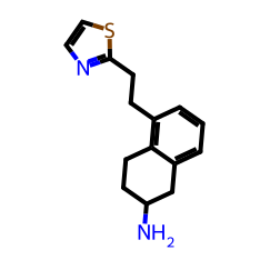 NC1CCc2c(CCc3nccs3)cccc2C1